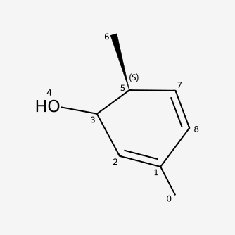 CC1=CC(O)[C@@H](C)C=C1